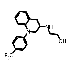 OCCNC1Cc2ccccc2N(c2ccc(C(F)(F)F)cc2)C1